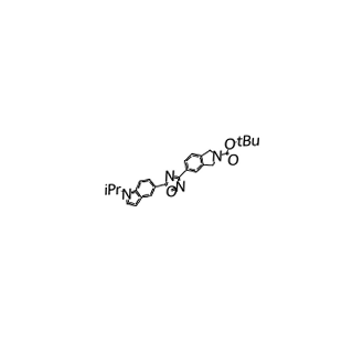 CC(C)n1ccc2cc(-c3nc(-c4ccc5c(c4)CN(C(=O)OC(C)(C)C)C5)no3)ccc21